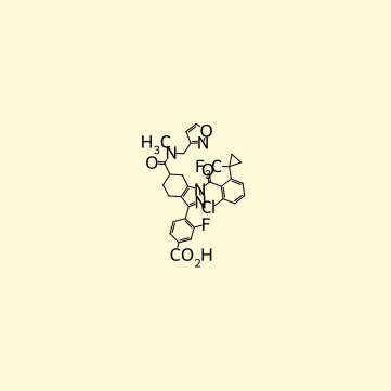 CN(Cc1ccon1)C(=O)C1CCc2c(-c3ccc(C(=O)O)cc3F)nn(C(=O)c3c(Cl)cccc3C3(C(F)(F)F)CC3)c2C1